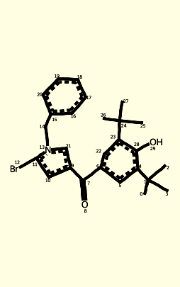 CC(C)(C)c1cc(C(=O)c2cc(Br)n(Cc3ccccc3)c2)cc(C(C)(C)C)c1O